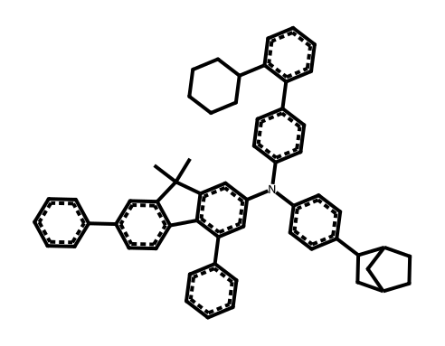 CC1(C)c2cc(-c3ccccc3)ccc2-c2c(-c3ccccc3)cc(N(c3ccc(-c4ccccc4C4CCCCC4)cc3)c3ccc(C4CC5CCC4C5)cc3)cc21